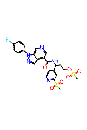 CS(=O)(=O)OCCC(NC(=O)c1cncc2c1cnn2-c1ccc(F)cc1)c1ccnc(S(C)(=O)=O)c1